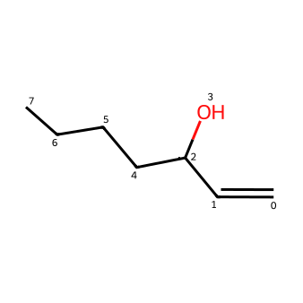 C=C[C](O)CCCC